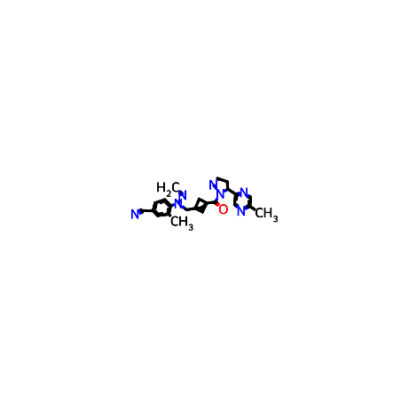 C=NN(CC12CC(C(=O)N3N=CCC3c3cnc(C)cn3)(C1)C2)c1ccc(C#N)cc1C